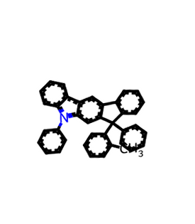 Cc1ccccc1C1(c2ccccc2)c2ccccc2-c2cc3c4ccccc4n(-c4ccccc4)c3cc21